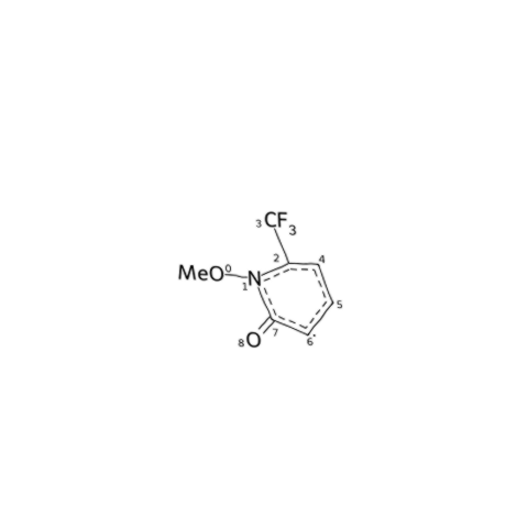 COn1c(C(F)(F)F)cc[c]c1=O